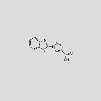 CC(=O)c1cnn(-c2nc3ccccc3s2)c1